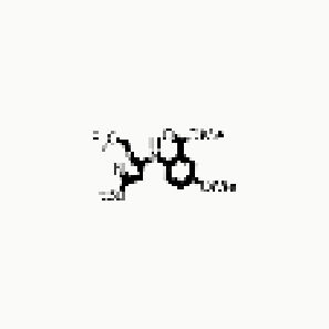 COC(=O)c1cc(OC)ccc1Nc1cc(C(C)(C)C)nn1CC(F)(F)F